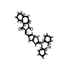 O=C1/C(=C\C2=CC3=C(C=C(N4c5ccccc5[Te]c5ccccc54)C3)C2)C(=O)c2c1ccc1ccccc21